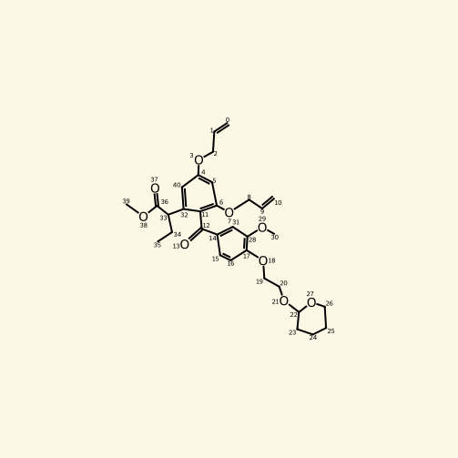 C=CCOc1cc(OCC=C)c(C(=O)c2ccc(OCCOC3CCCCO3)c(OC)c2)c(C(CC)C(=O)OC)c1